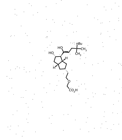 CCCCC(C)(C)CC=C(O)[C@H]1[C@@H]2C[C@H](CCOCC(=O)O)C[C@@H]2C[C@@H]1O